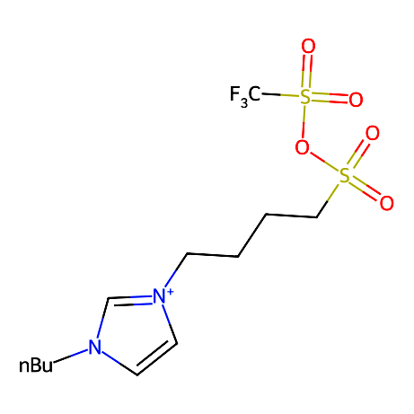 CCCCn1cc[n+](CCCCS(=O)(=O)OS(=O)(=O)C(F)(F)F)c1